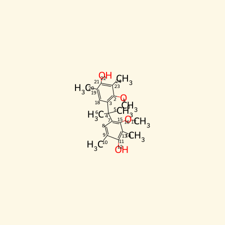 COc1c(C(C)(C)c2cc(C)c(O)c(C)c2OC)cc(C)c(O)c1C